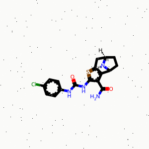 CCN1C2CC[C@@H]1Cc1sc(NC(=O)Nc3ccc(Cl)cc3)c(C(N)=O)c12